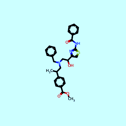 COC(=O)c1ccc(C(C)CN(Cc2ccccc2)CC(O)c2csc(NC(=O)c3ccccc3)n2)cc1